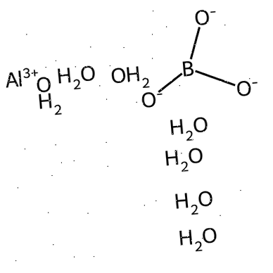 O.O.O.O.O.O.O.[Al+3].[O-]B([O-])[O-]